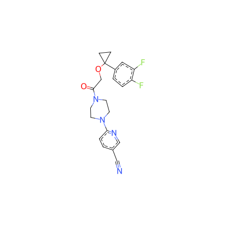 N#Cc1ccc(N2CCN(C(=O)COC3(c4ccc(F)c(F)c4)CC3)CC2)nc1